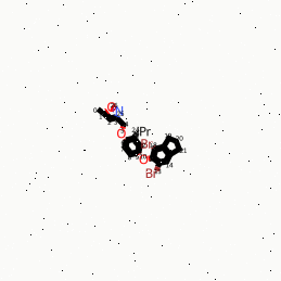 Cc1cc(COc2ccc(Oc3c(Br)cc4c(c3Br)CC[CH]4)cc2C(C)C)no1